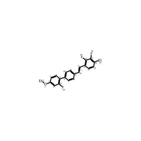 CCOc1ccc(-c2ccc(/C=C/c3ccc(CC)c(F)c3F)cc2)c(F)c1